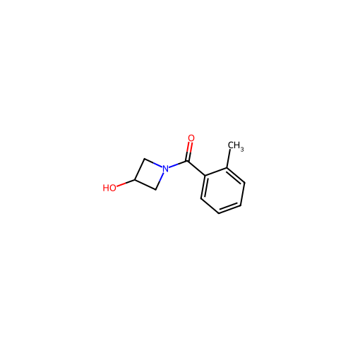 Cc1ccccc1C(=O)N1CC(O)C1